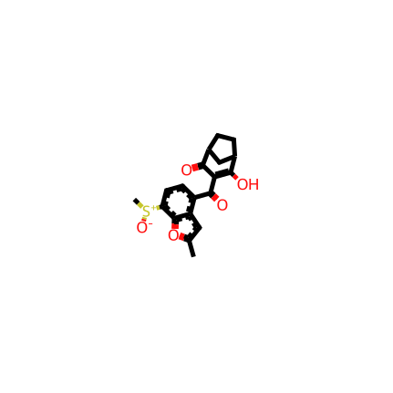 Cc1cc2c(C(=O)C3=C(O)C4CCC(C4)C3=O)ccc([S+](C)[O-])c2o1